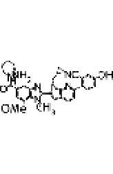 COc1cc(C(=O)N2CC3CCC2[C@@H]3N)cc2nc(-c3cc4ccc(-c5ccc(O)cc5C#N)nc4n3CC3CC3)n(C)c12